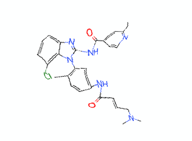 Cc1cc(C(=O)Nc2nc3cccc(Cl)c3n2-c2cc(NC(=O)/C=C/CN(C)C)ccc2C)ccn1